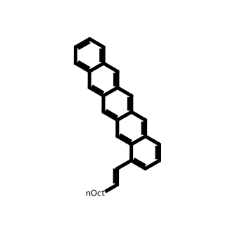 CCCCCCCCC=Cc1cccc2cc3cc4cc5ccccc5cc4cc3cc12